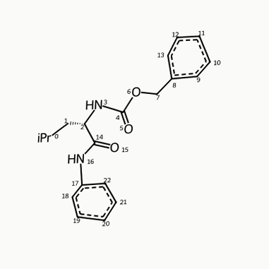 CC(C)C[C@H](NC(=O)OCc1ccccc1)C(=O)Nc1ccccc1